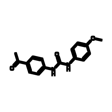 COc1ccc(NC(=O)Nc2ccc(C(C)=O)cc2)cc1